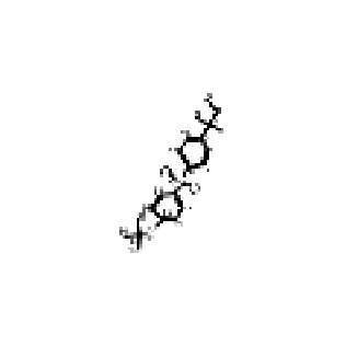 CCC(C)(C)c1ccc(S(=O)(=O)c2ccc(OC(C)(C)C)cc2)cc1